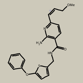 COC/C=C\c1ccc(C(=O)NCc2ccc(Oc3ccccc3)s2)c(N)n1